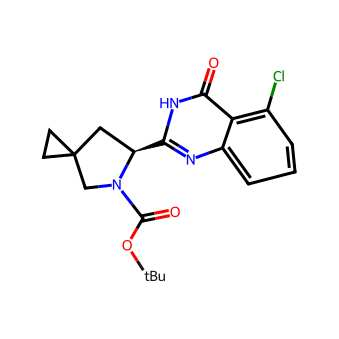 CC(C)(C)OC(=O)N1CC2(CC2)C[C@H]1c1nc2cccc(Cl)c2c(=O)[nH]1